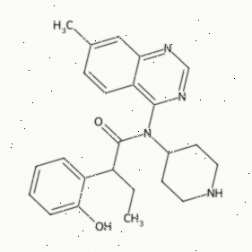 CCC(C(=O)N(c1ncnc2cc(C)ccc12)C1CCNCC1)c1ccccc1O